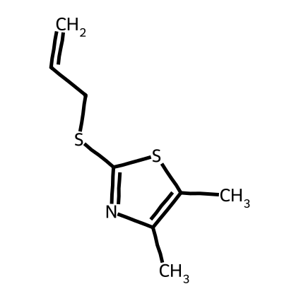 C=CCSc1nc(C)c(C)s1